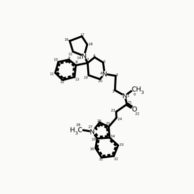 CN(CCN1CCC(c2ccccc2)(N2CCCC2)CC1)C(=O)CCc1cn(C)c2ccccc12